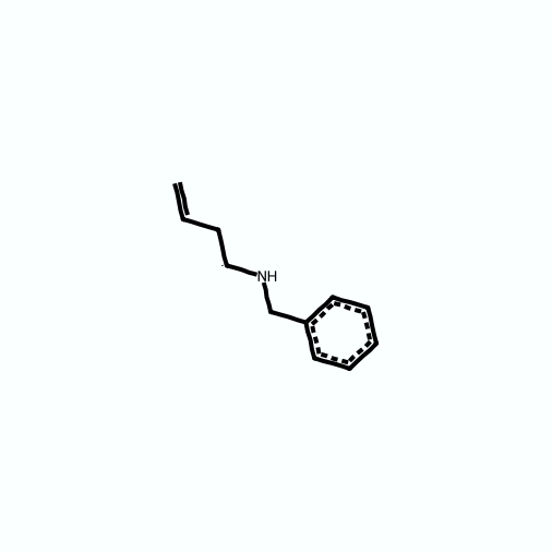 C=CC[CH]NCc1ccccc1